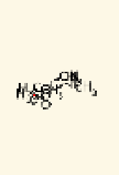 CC#CCC(CC#CCCN(C)C#N)CO[Si](c1ccccc1)(c1ccccc1)C(C)(C)C